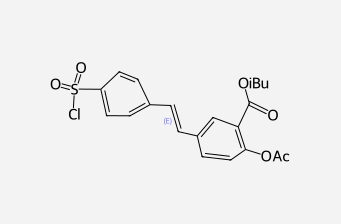 CC(=O)Oc1ccc(/C=C/c2ccc(S(=O)(=O)Cl)cc2)cc1C(=O)OCC(C)C